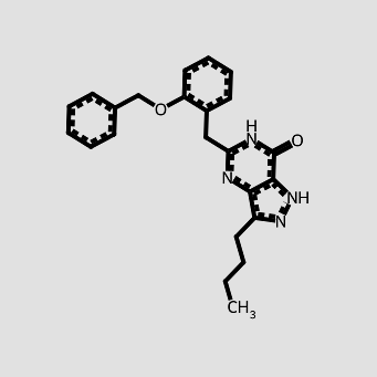 CCCCc1n[nH]c2c(=O)[nH]c(Cc3ccccc3OCc3ccccc3)nc12